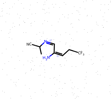 CC(C#N)/N=C\C(N)=C/CC(F)(F)F